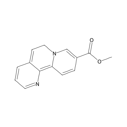 COC(=O)C1=CN2CC=c3cccnc3=C2C=C1